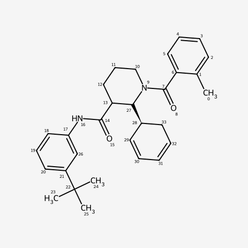 Cc1ccccc1C(=O)N1CCCC(C(=O)Nc2cccc(C(C)(C)C)c2)C1[C@@H]1C=CC=CC1